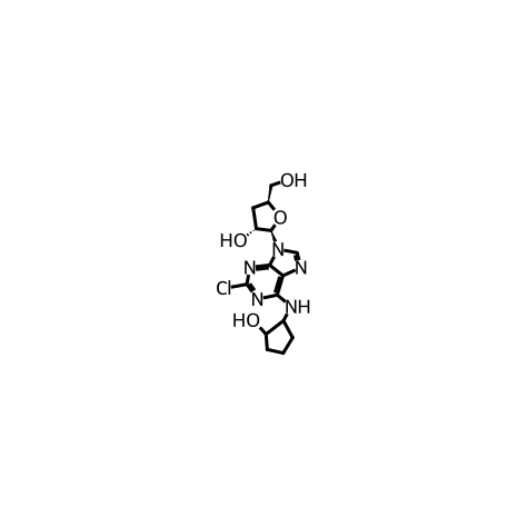 OC[C@@H]1C[C@@H](O)[C@H](n2cnc3c(NC4CCCC4O)nc(Cl)nc32)O1